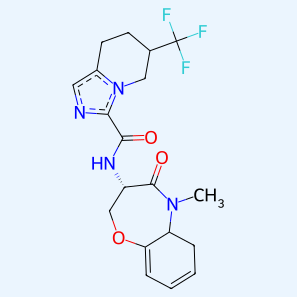 CN1C(=O)[C@@H](NC(=O)c2ncc3n2CC(C(F)(F)F)CC3)COC2=CC=CCC21